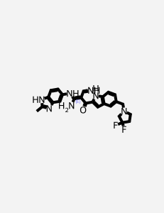 Cc1nc2cc(N/C(N)=C(\C=N)C(=O)c3cc4cc(CN5CCC(F)(F)C5)ccc4[nH]3)ccc2[nH]1